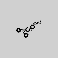 COCCO[C@H]1CC[C@@](C)([C@H]2CC[C@H](N(Cc3ccccc3)Cc3ccccc3)CC2)CC1